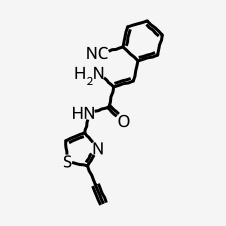 C#Cc1nc(NC(=O)C(N)=Cc2ccccc2C#N)cs1